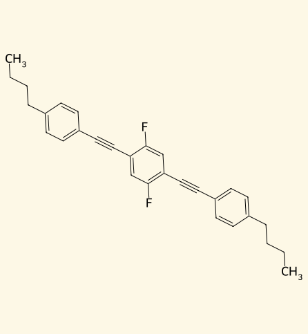 CCCCc1ccc(C#Cc2cc(F)c(C#Cc3ccc(CCCC)cc3)cc2F)cc1